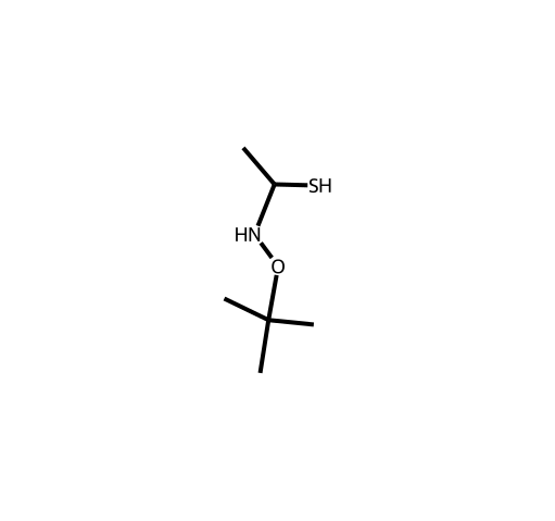 CC(S)NOC(C)(C)C